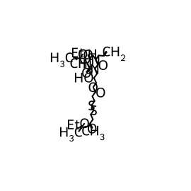 C=CCn1c(=O)n(CC(O)COC(=O)CCSSCCC(=O)OC(C)(C)CC)c(=O)n(CC(O)C(C)(C)CC)c1=O